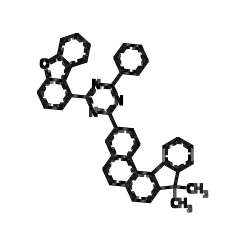 CC1(C)c2ccccc2-c2c1ccc1ccc3cc(-c4nc(-c5ccccc5)nc(-c5cccc6oc7ccccc7c56)n4)ccc3c21